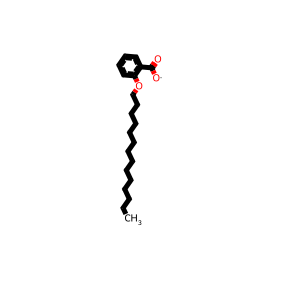 CCCCCCCCCCCCCCOc1ccccc1C([O])=O